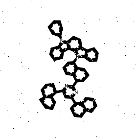 c1ccc(-n2c3ccccc3c3c2ccc2c4ccccc4n(-c4cccc5c(-c6nc(-c7cccc8ccccc78)cc(-c7cccc8ccccc78)n6)cccc45)c23)cc1